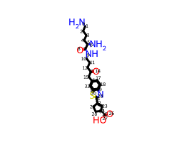 NCCCCC(N)C(=O)NCCCC(=O)Cc1ccc2nc(C3=C[C@@H](C(=O)O)CC3)sc2c1